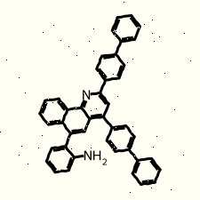 Nc1ccccc1-c1cc2c(-c3ccc(-c4ccccc4)cc3)cc(-c3ccc(-c4ccccc4)cc3)nc2c2ccccc12